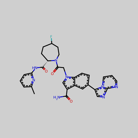 Cc1cccc(NC(=O)[C@@H]2CCC(F)CCN2C(=O)Cn2cc(C(N)=O)c3cc(-c4cnc5ncccn45)ccc32)n1